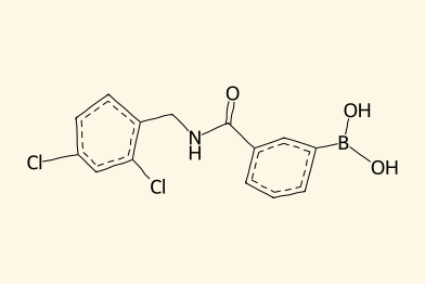 O=C(NCc1ccc(Cl)cc1Cl)c1cccc(B(O)O)c1